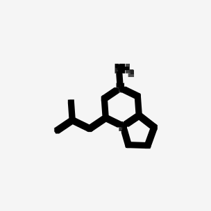 CC(C)CC1CN(N)CC2CCCN21